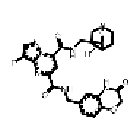 O=C1COc2ccc(CNC(=O)c3cc(C(=O)NC[C@H]4CN5CCC4CC5)n4ncc(F)c4n3)cc2N1